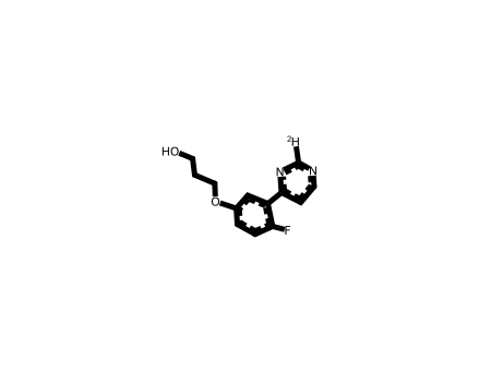 [2H]c1nccc(-c2cc(OCCCO)ccc2F)n1